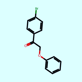 O=C(COc1ccccc1)c1ccc(Br)cc1